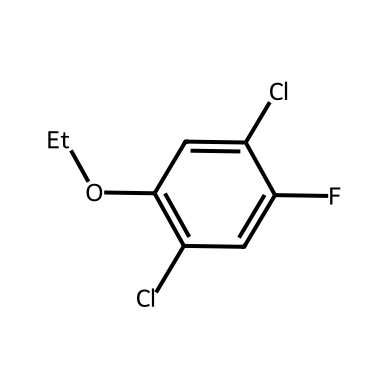 CCOc1cc(Cl)c(F)cc1Cl